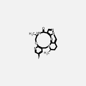 C[C@@H]1COc2ncc(F)cc2CN2c3nc4c(cnn4cc3CC[C@H]2C)C(=O)N1